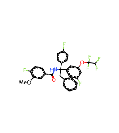 COc1cc(C(=O)NC(Cc2ccccc2)(c2ccc(F)cc2)c2cc(F)cc(OC(F)(F)C(F)F)c2)ccc1F